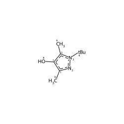 Cc1nn(C(C)(C)C)c(C)c1O